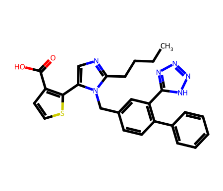 CCCCc1ncc(-c2sccc2C(=O)O)n1Cc1ccc(-c2ccccc2)c(-c2nnn[nH]2)c1